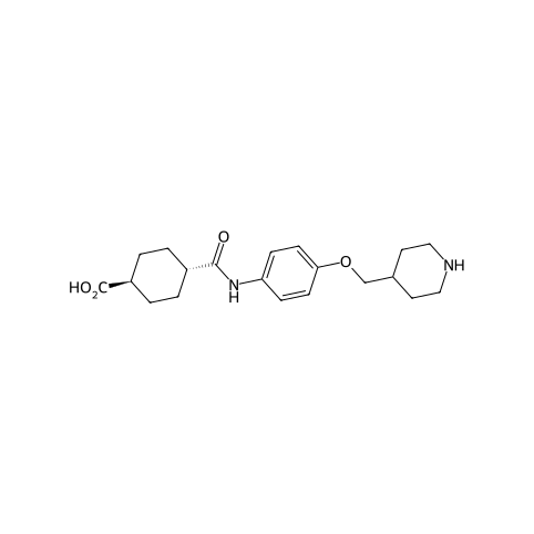 O=C(O)[C@H]1CC[C@H](C(=O)Nc2ccc(OCC3CCNCC3)cc2)CC1